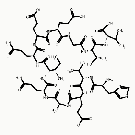 CC[C@H](C)[C@H](NC(=O)[C@H](CCC(N)=O)NC(=O)[C@H](C)NC(=O)[C@H](CCC(=O)O)NC(=O)[C@@H](NC(=O)[C@@H](N)Cc1c[nH]cn1)[C@@H](C)O)C(=O)N[C@@H](CCC(N)=O)C(=O)N[C@@H](CCC(=O)O)C(=O)N[C@@H](CCC(=O)O)C(=O)NCC(=O)N[C@H](C(=O)N[C@H](C(=O)O)C(C)C)[C@@H](C)O